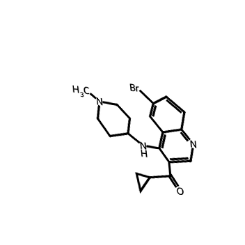 CN1CCC(Nc2c(C(=O)C3CC3)cnc3ccc(Br)cc23)CC1